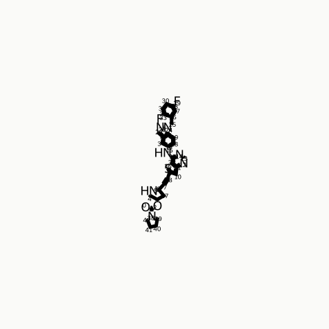 O=C(OC1CNC(C#Cc2cc3ncnc(Nc4ccc5c(cnn5Cc5cc(F)ccc5F)c4)c3s2)C1)N1CCCC1